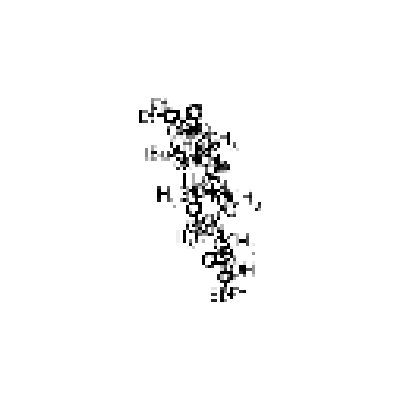 CCC(=O)N(CC(C)OC(=O)CCC(=O)N(CC(C)OC(=O)CC(C)CC(C)(C)C)CC(C)OC(=O)c1ccccc1C(=O)c1ccc(N(CC)CC)cc1O)CC(C)OC(=O)CCC(=O)N(CC(C)OC(=O)c1ccc(N(C)C)cc1)CC(C)OC(=O)c1ccccc1C(=O)c1ccc(N(CC)CC)cc1O